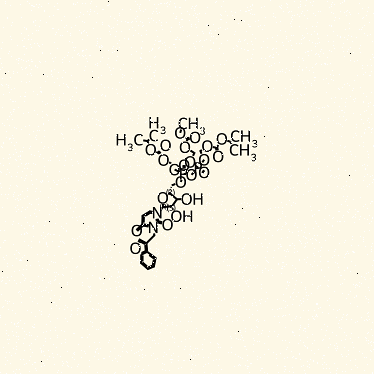 COC(=O)OCOP(=O)(OCOC(=O)OC(C)C)OP(=O)(OCOC(=O)OC(C)C)OC[C@H]1O[C@@H](n2ccc(=O)n(Cc3coc4ccccc34)c2=O)[C@@H](O)C1O